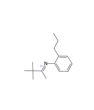 CCCc1ccccc1/N=C(\C)C(C)(C)C